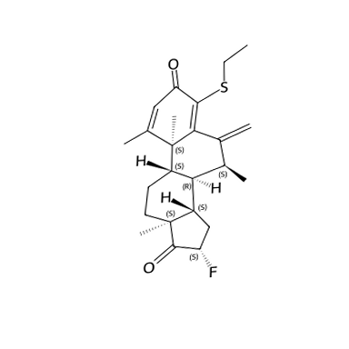 C=C1C2=C(SCC)C(=O)C=C(C)[C@]2(C)[C@H]2CC[C@]3(C)C(=O)[C@@H](F)C[C@H]3[C@@H]2[C@@H]1C